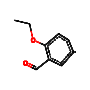 CCOc1cc[c]cc1C=O